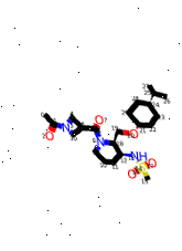 CC(=O)N1CC(C(=O)N2CCC[C@H](NS(C)(=O)=O)[C@@H]2CO[C@H]2CC[C@@H](C(C)C)CC2)C1